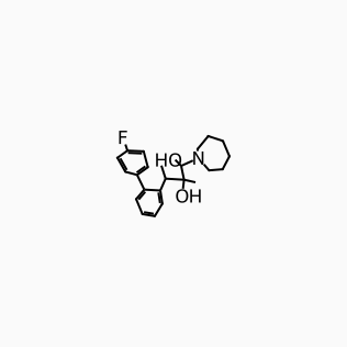 CC(c1ccccc1-c1ccc(F)cc1)C(C)(O)C(O)N1CCCCCC1